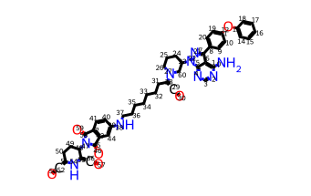 Nc1ncnc2c1c(-c1ccc(Oc3ccccc3)cc1)nn2C1CCCN(C(=C=O)CCCCCCCNc2ccc3c(c2)C(=O)N(C2CCC(=C=O)NC2=C=O)C3=O)C1